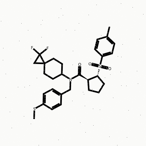 CSc1ccc(CN(C(=O)[C@@H]2CCC[C@H]2S(=O)(=O)c2ccc(C)cc2)C2CCC3(CC2)CC3(F)F)cc1